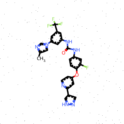 Cc1cn(-c2cc(NC(=O)Nc3ccc(Oc4ccnc(-c5cn[nH]c5)c4)c(F)c3)cc(C(F)(F)F)c2)cn1